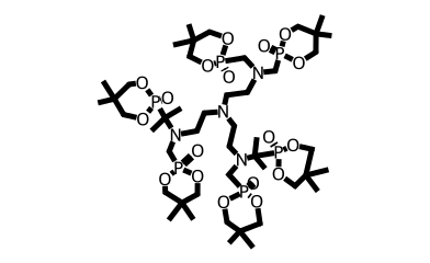 CC1(C)COP(=O)(CN(CCN(CCN(CP2(=O)OCC(C)(C)CO2)C(C)(C)P2(=O)OCC(C)(C)CO2)CCN(CP2(=O)OCC(C)(C)CO2)C(C)(C)P2(=O)OCC(C)(C)CO2)CP2(=O)OCC(C)(C)CO2)OC1